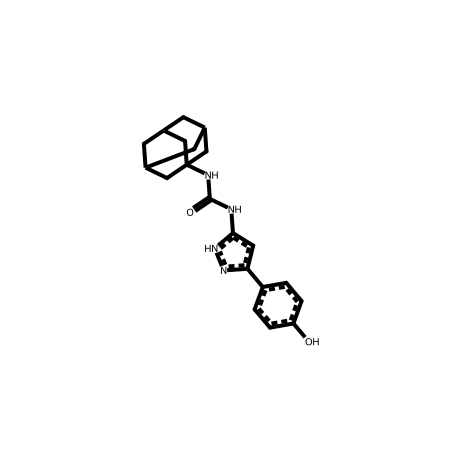 O=C(Nc1cc(-c2ccc(O)cc2)n[nH]1)NC12CC3CC(CC(C3)C1)C2